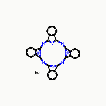 [Eu].c1ccc2c(c1)-c1nc-2nc2[nH]c(nc3nc(nc4[nH]c(n1)c1ccccc41)-c1ccccc1-3)c1ccccc21